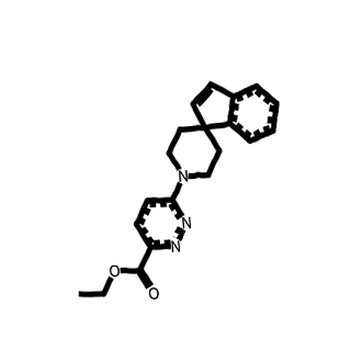 CCOC(=O)c1ccc(N2CCC3(C=Cc4ccccc43)CC2)nn1